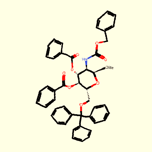 CO[C@H]1O[C@H](COC(c2ccccc2)(c2ccccc2)c2ccccc2)[C@@H](OC(=O)c2ccccc2)[C@H](OC(=O)c2ccccc2)[C@H]1NC(=O)OCc1ccccc1